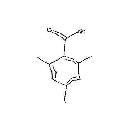 CCCC(=O)c1c(C)cc(C)cc1C